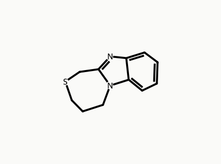 c1ccc2c(c1)nc1n2CCCSC1